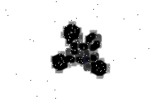 O=C(N[C@H](/C=C(\F)S(=O)(=O)c1ccccc1)CCc1ccccc1)[C@H](Cc1ccccc1)NC(=O)N1CCOCC1